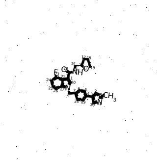 Cn1cc(-c2ccc(Cn3cc(C(=O)NC[C@H]4CCCO4)c4c(F)cccc43)cc2)cn1